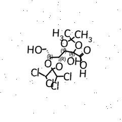 CC1(C)O[C@@H]([C@@H]2OC(C(Cl)Cl)(C(Cl)Cl)O[C@@H]2CO)[C@](O)(C(=O)O)O1